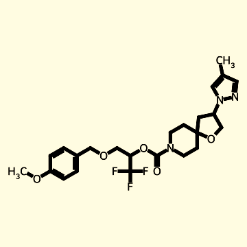 COc1ccc(COCC(OC(=O)N2CCC3(CC2)CC(n2cc(C)cn2)CO3)C(F)(F)F)cc1